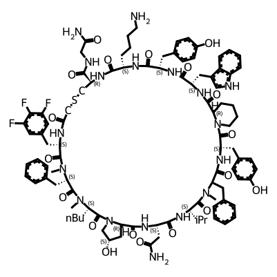 CCCC[C@H]1C(=O)N2C[C@@H](O)C[C@@H]2C(=O)N[C@@H](CC(N)=O)C(=O)N[C@@H](C(C)C)C(=O)N(C)C(Cc2ccccc2)C(=O)N[C@@H](Cc2ccc(O)cc2)C(=O)N2CCCC[C@@H]2C(=O)N[C@@H](Cc2c[nH]c3ccccc23)C(=O)N[C@@H](Cc2ccc(O)cc2)C(=O)N[C@@H](CCCCN)C(=O)N[C@H](C(=O)NCC(N)=O)CSCC(=O)N[C@@H](Cc2cc(F)c(F)c(F)c2)C(=O)N(C)[C@@H](Cc2ccccc2)C(=O)N1C